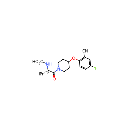 CC(C)[C@H](NC(=O)O)C(=O)N1CCC(Oc2ccc(F)cc2C#N)CC1